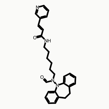 O=CN(CCCCCCNC(=O)C=Cc1cccnc1)N1c2ccccc2CCc2ccccc21